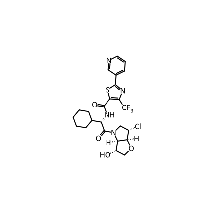 O=C(N[C@H](C(=O)N1C[C@H](Cl)[C@H]2OC[C@H](O)[C@H]21)C1CCCCC1)c1sc(-c2cccnc2)nc1C(F)(F)F